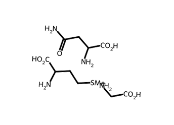 CSCCC(N)C(=O)O.NC(=O)CC(N)C(=O)O.NCC(=O)O